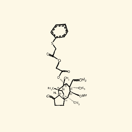 C=C[C@]1(C)C[C@@H](OC(=O)COC(=O)CSc2ccccc2)[C@]2(C)[C@H](C)CC[C@]3(CCC(=O)[C@H]32)[C@@H](C)[C@@H]1OC